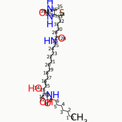 CCCCCCCC(=O)N[C@@H](CO)[C@H](O)/C=C/CCCCCCCCCNC(=O)CCCCC1SCC2NC(=O)NC21